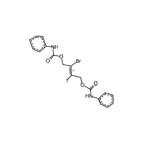 O=C(Nc1ccccc1)OC/C(Br)=C(\I)COC(=O)Nc1ccccc1